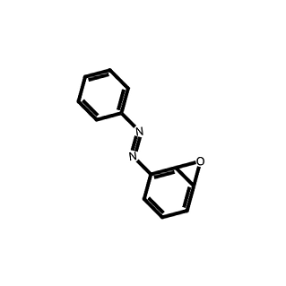 c1ccc(N=Nc2cccc3c2O3)cc1